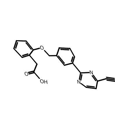 N#Cc1ccnc(-c2cccc(COc3ccccc3CC(=O)O)c2)n1